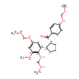 COCOc1ccc(C(=O)[C@@H]2CCC[C@@H]2c2cc(OCOC)cc(OC)c2OCOC)cc1